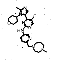 Cc1ncc(-c2nc(Nc3ccc(CN4CCCN(C)CC4)nc3)ncc2F)n1C1CCOCC1